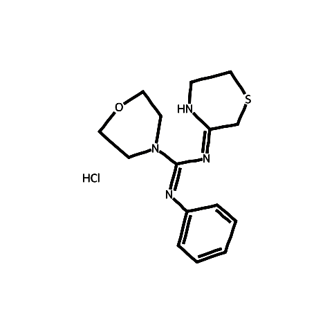 Cl.c1ccc(N=C(N=C2CSCCN2)N2CCOCC2)cc1